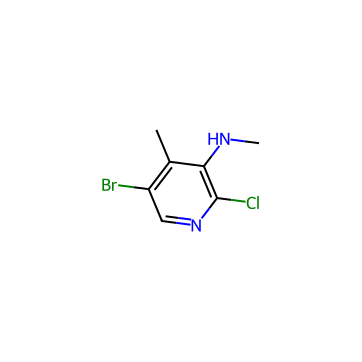 CNc1c(Cl)ncc(Br)c1C